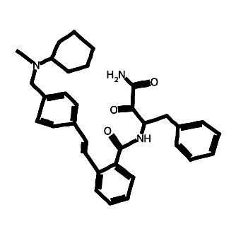 CN(Cc1ccc(/C=C/c2ccccc2C(=O)NC(Cc2ccccc2)C(=O)C(N)=O)cc1)C1CCCCC1